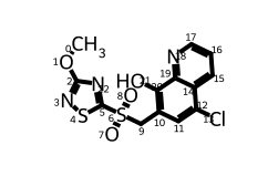 COc1nsc(S(=O)(=O)Cc2cc(Cl)c3cccnc3c2O)n1